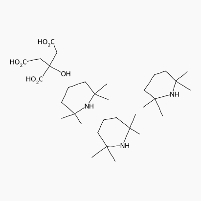 CC1(C)CCCC(C)(C)N1.CC1(C)CCCC(C)(C)N1.CC1(C)CCCC(C)(C)N1.O=C(O)CC(O)(CC(=O)O)C(=O)O